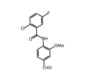 COc1cc(C=O)ccc1NC(=O)c1cc(F)ccc1Cl